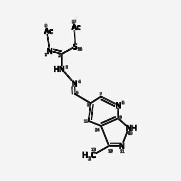 CC(=O)N=C(N/N=C/c1cnc2[nH]nc(C)c2c1)SC(C)=O